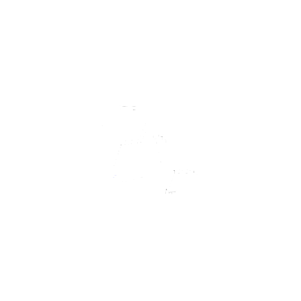 CC1C(=O)NC1/C=C\c1ccccc1